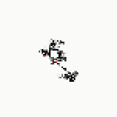 CC[C@H]1OC(=O)[C@H](C)[C@@H](C2C[C@@](C)(OC)[C@@H](O)[C@H](C)O2)[C@H](C)[C@@H](O[C@@H]2O[C@H](C)C[C@H](N(C)C)[C@H]2O)[C@](C)(O)C[C@@H](C)CN(C2(CCCCCCCCCCC[PH](c3ccccc3)(c3ccccc3)c3cnn(C(C)(C)C)c3)CO2)[C@H](C)[C@@H](O)[C@]1(C)O